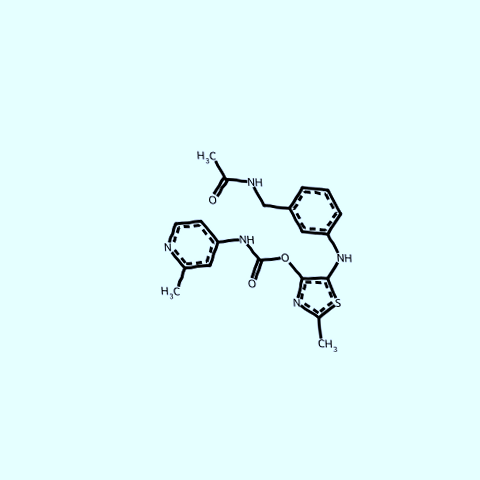 CC(=O)NCc1cccc(Nc2sc(C)nc2OC(=O)Nc2ccnc(C)c2)c1